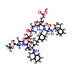 COC(=O)CSC(C)(C)[C@H](NC(=O)[C@H](C)N(C)C(=O)OC(C)(C)C)C(=O)N1Cc2cc([C@H]3C[C@@H](C(=O)N[C@@H]4CCCc5ccccc54)N(C(=O)[C@@H](NC(=O)[C@H](C)N(C)C(=O)OC(C)(C)C)C(C)(C)C)C3)ccc2C[C@H]1C(=O)N[C@@H]1CCCc2ccccc21